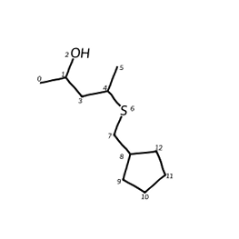 CC(O)CC(C)SCC1CCCC1